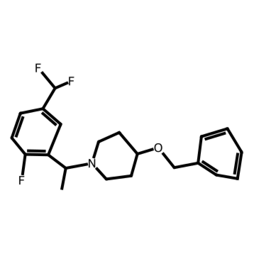 CC(c1cc(C(F)F)ccc1F)N1CCC(OCc2ccccc2)CC1